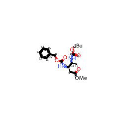 COC(=O)C[C@@H](NC(=O)OCc1ccccc1)[C@H](C)NC(=O)OC(C)(C)C